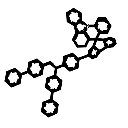 c1ccc2c(c#1)-n1c3c(c4ccccc41)=CCCC=3C21c2ccccc2-c2ccc(-c3ccc(C(Cc4ccc(-c5ccccc5)cc4)c4ccc(-c5ccccc5)cc4)cc3)cc21